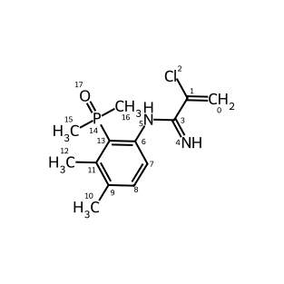 C=C(Cl)C(=N)Nc1ccc(C)c(C)c1P(C)(C)=O